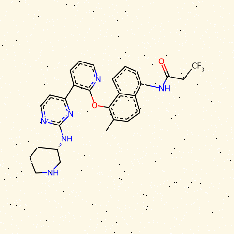 Cc1ccc2c(NC(=O)CC(F)(F)F)cccc2c1Oc1ncccc1-c1ccnc(N[C@H]2CCCNC2)n1